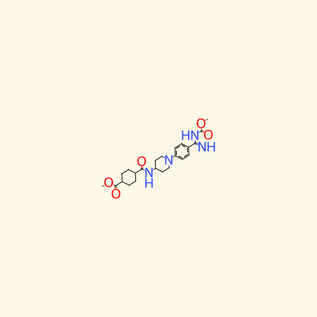 COC(=O)NC(=N)c1ccc(N2CCC(NC(=O)C3CCC(C(=O)OC)CC3)CC2)cc1